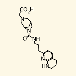 O=C(O)CN1CC2CC(C1)N(C(=O)NCCCc1ccc3c(n1)NCCC3)C2